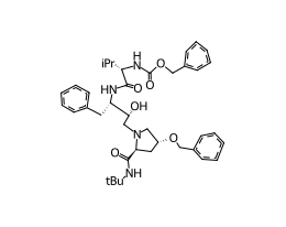 CC(C)[C@H](NC(=O)OCc1ccccc1)C(=O)N[C@@H](Cc1ccccc1)[C@H](O)CN1C[C@H](OCc2ccccc2)C[C@H]1C(=O)NC(C)(C)C